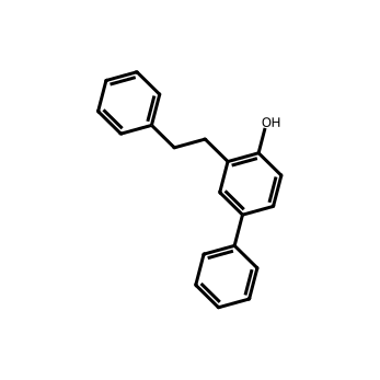 Oc1ccc(-c2ccccc2)cc1CCc1ccccc1